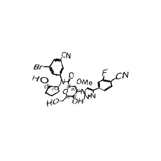 CO[C@@H]1[C@@H](n2cc(-c3ccc(C#N)c(F)c3)nn2)[C@@H](O)[C@@H](CO)O[C@H]1C(=O)N(c1cc(Br)cc(C#N)c1)[C@H]1CCC[C@@H]1O